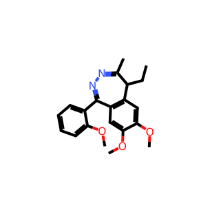 CCC1C(C)=NN=C(c2ccccc2OC)c2cc(OC)c(OC)cc21